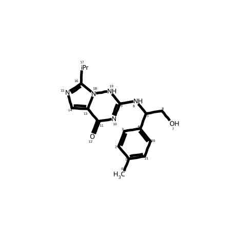 Cc1ccc(C(CO)Nc2nc(=O)c3cnc(C(C)C)n3[nH]2)cc1